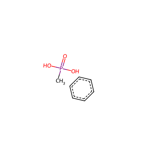 CP(=O)(O)O.c1ccccc1